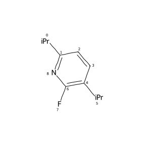 CC(C)c1ccc(C(C)C)c(F)n1